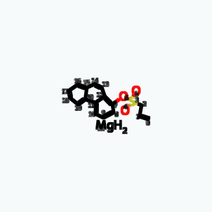 C=CCS(=O)(=O)Oc1cccc2c1ccc1ccccc12.[MgH2]